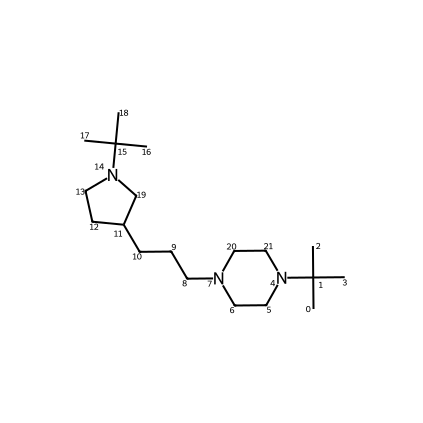 CC(C)(C)N1CCN(CCCC2CCN(C(C)(C)C)C2)CC1